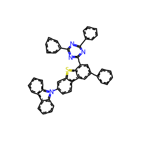 c1ccc(-c2cc(-c3nc(-c4ccccc4)nc(-c4ccccc4)n3)c3sc4cc(-n5c6ccccc6c6ccccc65)ccc4c3c2)cc1